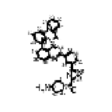 NC1CCN(C(=O)c2nc(-c3cncc(-c4nc(NCc5ccccn5)c5c(-c6ccccc6)cccc5n4)c3)no2)CC1